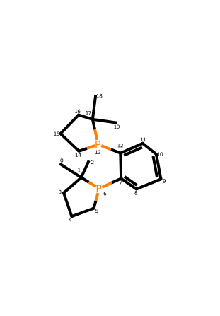 CC1(C)CCCP1c1ccccc1P1CCCC1(C)C